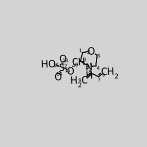 C1COCCN1.C=CC=C.COS(=O)(=O)O